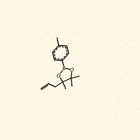 [CH2]c1ccc(B2OC(C)(C)C(C)(CC=C)O2)cc1